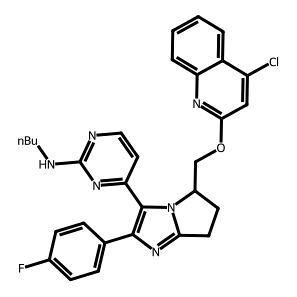 CCCCNc1nccc(-c2c(-c3ccc(F)cc3)nc3n2C(COc2cc(Cl)c4ccccc4n2)CC3)n1